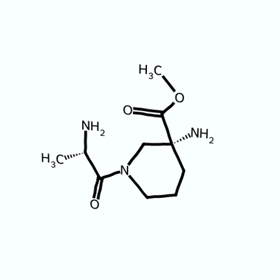 COC(=O)[C@@]1(N)CCCN(C(=O)[C@H](C)N)C1